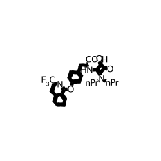 CCCN(CCC)c1c(N[C@@H](Cc2ccc(Oc3nc(C(F)(F)F)cc4ccccc34)cc2)C(=O)O)c(=O)c1=O